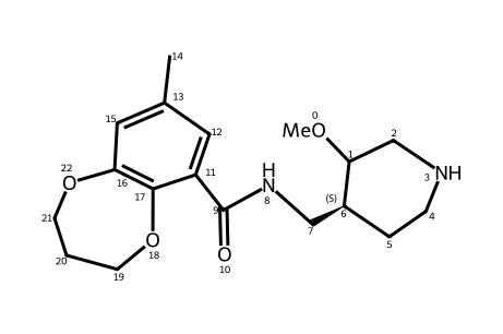 COC1CNCC[C@H]1CNC(=O)c1cc(C)cc2c1OCCCO2